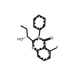 CC[C@@H](O)c1nc2cccc(F)c2c(=O)n1-c1ccccc1